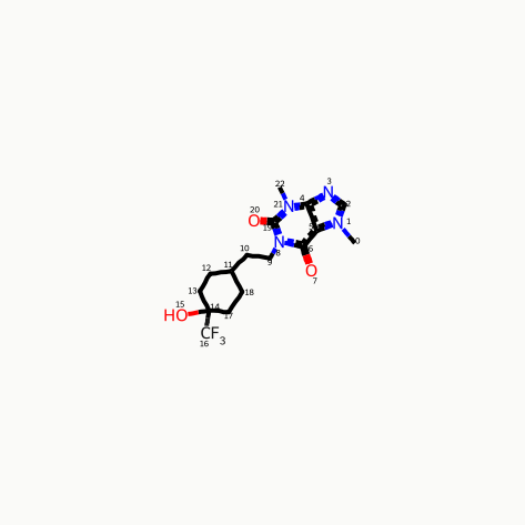 Cn1cnc2c1c(=O)n(CCC1CCC(O)(C(F)(F)F)CC1)c(=O)n2C